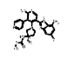 Cc1cc(F)cc2nc(-c3cnc(C#N)c(-c4ccncc4)c3N3CC[C@](C)(NC(=O)OC(C)(C)C)C3)[nH]c12